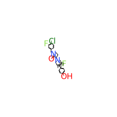 O=C1C(N2CC[C@H](c3ccc(O)cc3)[C@@H](F)C2)CCN1Cc1ccc(Cl)c(F)c1